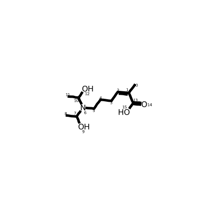 CC(=CCCCN(C(C)O)C(C)O)C(=O)O